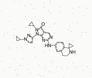 O=c1c2cnc(Nc3ccc4c(c3)CCNC43CC3)nc2n(-c2ccn(C3CC3)n2)n1C1CC1